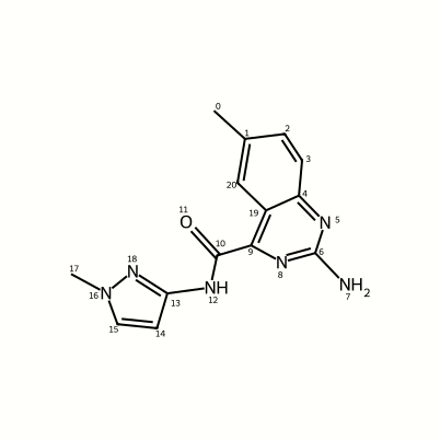 Cc1ccc2nc(N)nc(C(=O)Nc3ccn(C)n3)c2c1